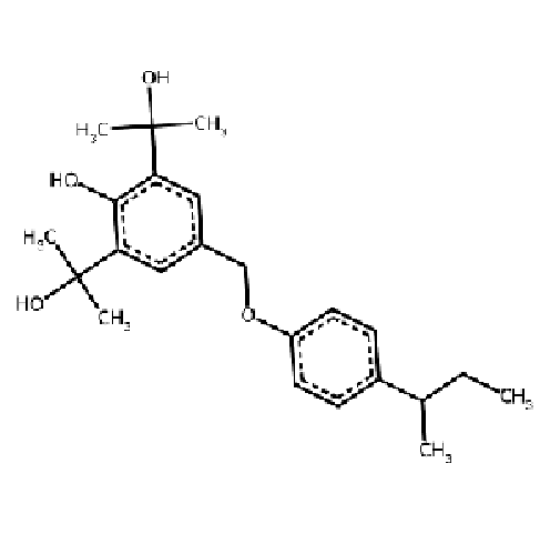 CCC(C)c1ccc(OCc2cc(C(C)(C)O)c(O)c(C(C)(C)O)c2)cc1